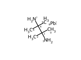 CC(C)(N)C(C)(C)N.[Pb]